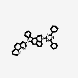 C1=CN(c2nc(-c3ccccc3)nc(-c3ccccc3)n2)c2cccc3cc4c(c1c23)c1ccccc1n4-c1cnc2c(ccc3cccnc32)c1